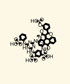 Cn1c(=O)c(C(=O)c2cccc(OS(=O)O)c2)c2c3c(c(Nc4cc(Nc5nc(N)nc(Nc6ccccc6S(=O)(=O)O)n5)c(S(=O)(=O)O)cc4S(=O)(=O)O)ccc31)C(=O)c1ccccc1-2